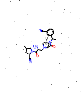 CC1CC(C#N)N(C(=O)C(N)CN2C[C@@H]3CC2C(=O)N3C(C)c2cccc(C#N)c2)C1